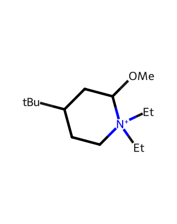 CC[N+]1(CC)CCC(C(C)(C)C)CC1OC